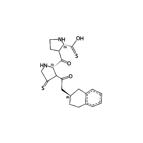 O=C(C[C@@H]1CCc2ccccc2C1)C1C(=S)CN[C@@H]1C(=O)C1CCN[C@@H]1C(O)=S